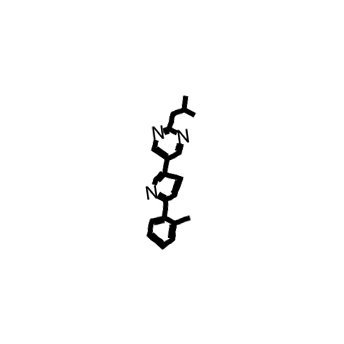 Cc1ccccc1-c1ccc(-c2cnc(CC(C)C)nc2)cn1